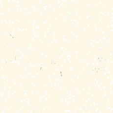 COC(COCCOC(=O)C(C)(C)CC(C)(Br)C(=O)OCCOP(=O)(O)OCC[N+](C)(C)C)OC